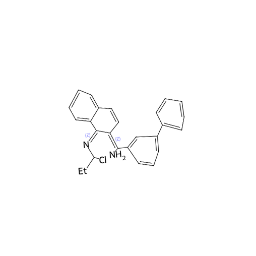 CCC(Cl)/N=C1\C(=C(/N)c2cccc(-c3ccccc3)c2)C=Cc2ccccc21